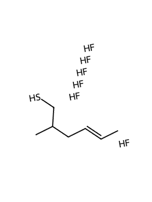 CC=CCC(C)CS.F.F.F.F.F.F